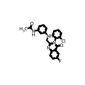 CC(=O)Nc1cccc(NCc2nc3ccc(F)cc3c(=O)n2-c2ccccc2Cl)c1